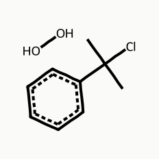 CC(C)(Cl)c1ccccc1.OO